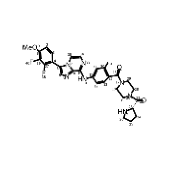 COc1ccc(-c2cnc3c(Nc4ccc(C(=O)N5CCN(C(=O)[C@@H]6CCCN6)CC5)c(C)c4)nccn23)c(F)c1F